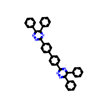 c1ccc(-c2nnc(-c3ccc(-c4ccc(-c5nnc(-c6ccccc6)c(-c6ccccc6)n5)cc4)cc3)nc2-c2ccccc2)cc1